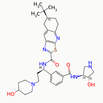 CC(C)(C)[C@H]1CCc2nc3sc(C(=O)N[C@H](CCN4CCC(O)CC4)c4cccc(C(=O)N[C@H]5CNC[C@@H]5O)c4)nc3cc2C1